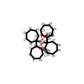 CC(C)O[Si](OC(C)C)(C1(C2CCCCCC2)CCCCCC1)C1(C2CCCCCC2)CCCCCC1